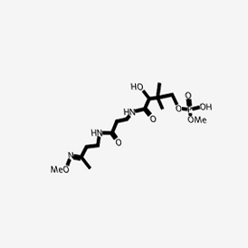 CO/N=C(\C)CCNC(=O)CCNC(=O)C(O)C(C)(C)COP(=O)(O)OC